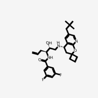 C=CC[C@H](NC(=O)c1cc(F)cc(F)c1)[C@H](O)CN[C@H]1CC2(CCC2)Oc2ncc(CC(C)(C)C)cc21